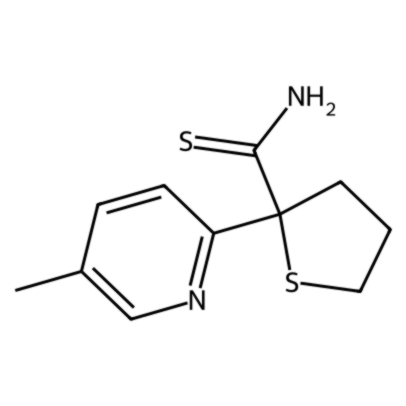 Cc1ccc(C2(C(N)=S)CCCS2)nc1